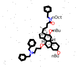 CCCCCCCCN(Cc1ccccc1)C(=O)CC[C@@H](C)[C@H]1CC[C@H]2C3[C@H](OCCCN(Cc4ccccc4)Cc4ccccc4)CC4C[C@H](OCCCC)CC[C@]4(C)[C@H]3C[C@H](OCCCC)[C@]12C